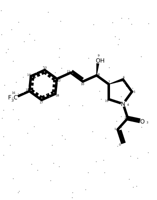 C=CC(=O)N1CC[C@H]([C@H](O)/C=C/c2ccc(C(F)(F)F)cc2)C1